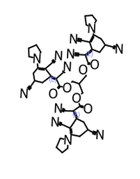 N#CC1=C(N2CCCC2)CC(C#N)C/C1=C(/C#N)C(=O)OCC(COC(=O)/C(C#N)=C1\CC(C#N)CC(N2CCCC2)=C1C#N)COC(=O)/C(C#N)=C1\CC(C#N)CC(N2CCCC2)=C1C#N